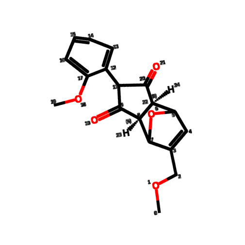 COCC1=CC2OC1[C@H]1C(=O)C(c3ccccc3OC)C(=O)[C@@H]21